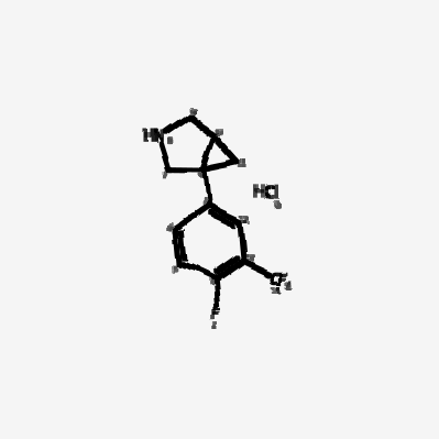 Cl.Fc1ccc(C23CNCC2C3)cc1C(F)(F)F